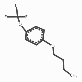 CCCCOc1ccc(OC(F)(F)F)cc1